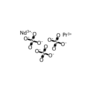 O=S(=O)([O-])[O-].O=S(=O)([O-])[O-].O=S(=O)([O-])[O-].[Nd+3].[Pr+3]